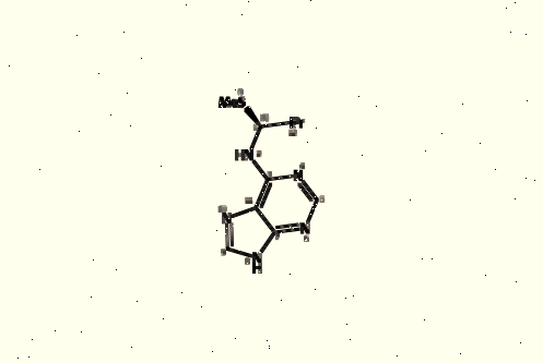 CS[C@H](Nc1ncnc2[nH]cnc12)C(C)C